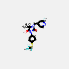 CC1(C)C(=O)N(c2ccc(SC(F)(F)F)cc2)C(=O)N1Cc1ccnc(F)c1